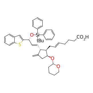 C=C1C[C@H](OC2CCCCO2)[C@H](CC=CCCCC(=O)O)[C@H]1C=C[C@@H](O[Si](c1ccccc1)(c1ccccc1)C(C)(C)C)c1cc2ccccc2s1